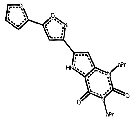 CCCn1c(=O)c2[nH]c(-c3cc(-c4cccs4)on3)cc2n(CCC)c1=O